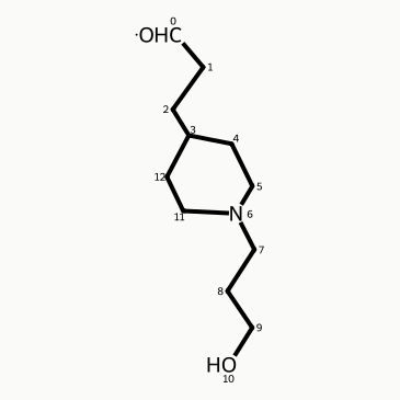 O=[C]CCC1CCN(CCCO)CC1